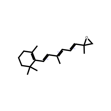 CC1=C(/C=C/C(C)=C/C=C/C2(C)CO2)C(C)(C)CCC1